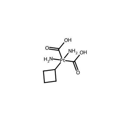 [NH2][Pt]([NH2])([C](=O)O)([C](=O)O)[CH]1CCC1